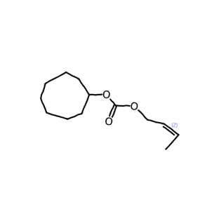 C/C=C\COC(=O)OC1CCCCCCC1